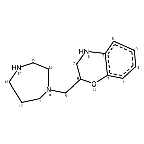 c1ccc2c(c1)NCC(CN1CCCNCC1)O2